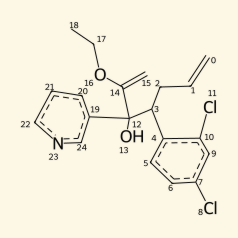 C=CCC(c1ccc(Cl)cc1Cl)C(O)(C(=C)OCC)c1cccnc1